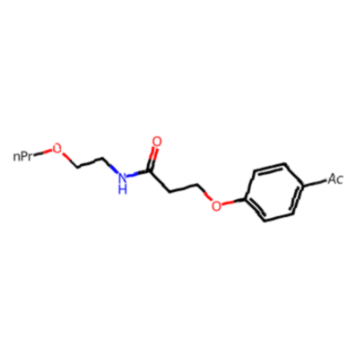 CCCOCCNC(=O)CCOc1ccc(C(C)=O)cc1